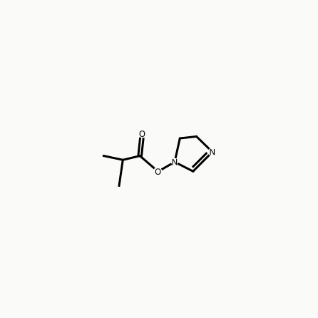 CC(C)C(=O)ON1C=NCC1